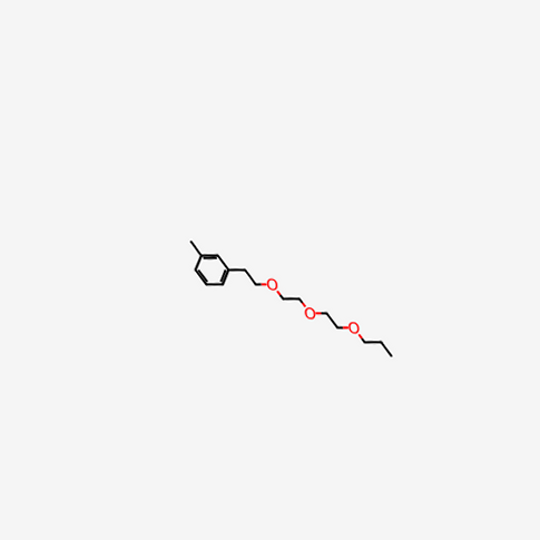 CCCOCCOCCOCCc1cccc(C)c1